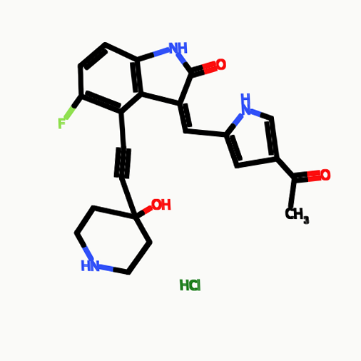 CC(=O)c1c[nH]c(C=C2C(=O)Nc3ccc(F)c(C#CC4(O)CCNCC4)c32)c1.Cl